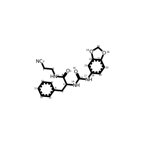 N#CCCNC(=O)C(Cc1ccccc1)NC(=O)Nc1ccc2c(c1)OCO2